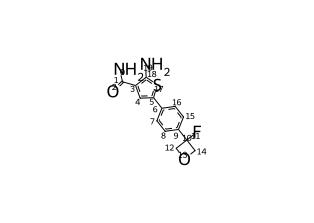 NC(=O)c1cc(-c2ccc(C3(F)COC3)cc2)sc1N